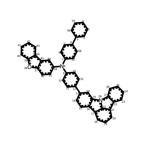 c1ccc(-c2ccc(N(c3ccc(-c4ccc5c6cccc7c8ccccc8n(c5c4)c76)cc3)c3ccc4oc5ccccc5c4c3)cc2)cc1